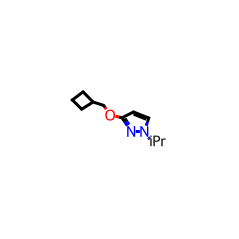 CC(C)n1ccc(OCC2CCC2)n1